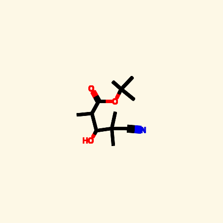 CC(C(=O)OC(C)(C)C)C(O)C(C)(C)C#N